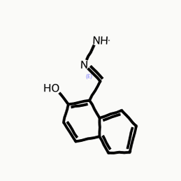 [NH]/N=C/c1c(O)ccc2ccccc12